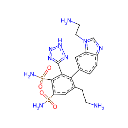 NCCc1cc(S(N)(=O)=O)c(S(N)(=O)=O)c(-c2nn[nH]n2)c1-c1ccc2ncn(CCN)c2c1